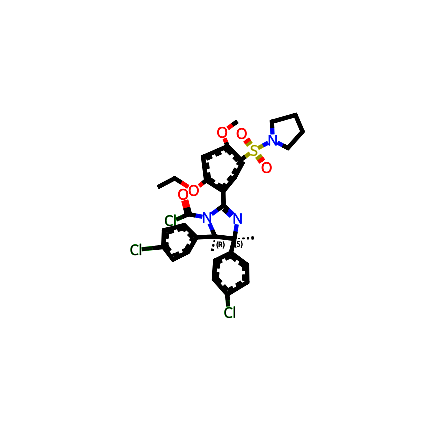 CCOc1cc(OC)c(S(=O)(=O)N2CCCC2)cc1C1=N[C@@](C)(c2ccc(Cl)cc2)[C@@](C)(c2ccc(Cl)cc2)N1C(=O)Cl